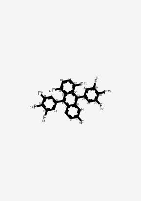 Fc1ccc2c(-c3cc(F)c(F)c(F)c3)c3c(F)ccc(F)c3c(-c3cc(F)c(F)c(F)c3)c2c1